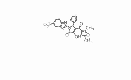 Cc1cc(C(=O)C2=C(O)C(=O)N(c3nc4ccc([N+](=O)[O-])cc4s3)C2c2ccsc2)c(C)o1